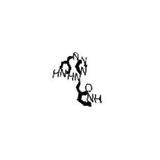 CN(CC1CCNCC1)c1cc(NCCc2ccc[nH]c2=O)ncn1